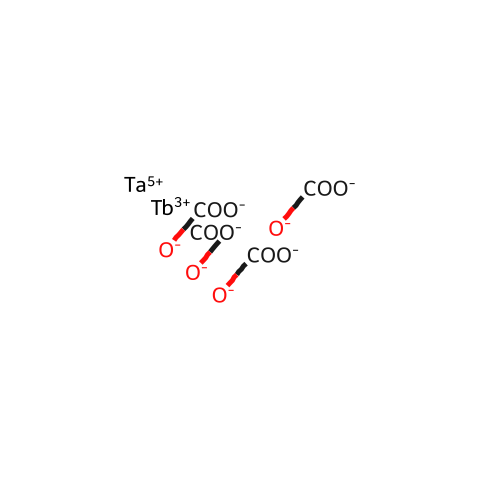 O=C([O-])[O-].O=C([O-])[O-].O=C([O-])[O-].O=C([O-])[O-].[Ta+5].[Tb+3]